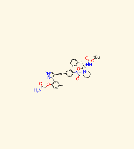 Cc1ccc(OCC(N)=O)c(-c2nn(C)cc2C#Cc2ccc(NC(=O)C3CCCCN3C(=O)[C@H](Cc3ccccc3)NC(=O)OC(C)(C)C)cc2)c1